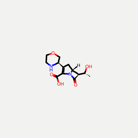 C[C@@H](O)[C@H]1C(=O)N2C(C(=O)O)=C([C@@H]3COCCN3)C[C@H]12